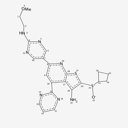 COCCNc1ncc(-c2cc(-c3ncccn3)c3c(N)c([S+]([O-])C4CCC4)sc3n2)cn1